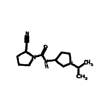 CC(C)N1CCC(NC(=O)N2CCCC2C#N)C1